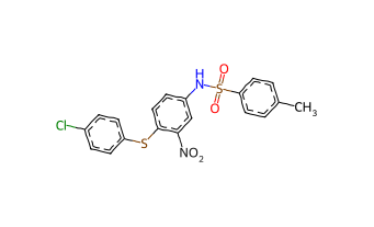 Cc1ccc(S(=O)(=O)Nc2ccc(Sc3ccc(Cl)cc3)c([N+](=O)[O-])c2)cc1